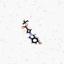 CC(C)(C)OC(=O)C1CC(N2Cc3ccc(Br)cc3C2)C1